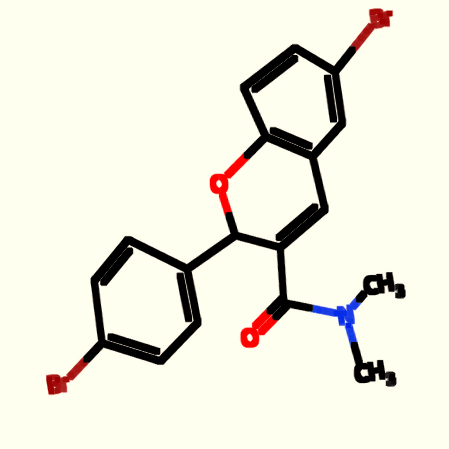 CN(C)C(=O)C1=Cc2cc(Br)ccc2OC1c1ccc(Br)cc1